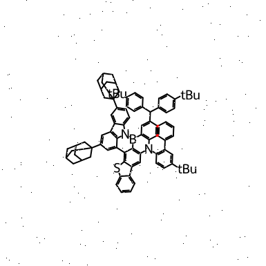 CC(C)(C)c1ccc(C(c2ccc(C(C)(C)C)cc2)c2ccc3c(c2)B2c4c(cc5c(sc6ccccc65)c4-c4cc(C56CC7CC(CC(C7)C5)C6)cc5c6cc(C78CC9CC(CC(C9)C7)C8)ccc6n2c45)N3c2ccc(C(C)(C)C)cc2-c2ccccc2)cc1